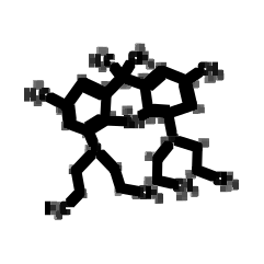 CCCP(CCC)c1cc(C)cc2c1Nc1c(P(CCC)CCC)cc(C)cc1C2(C)C